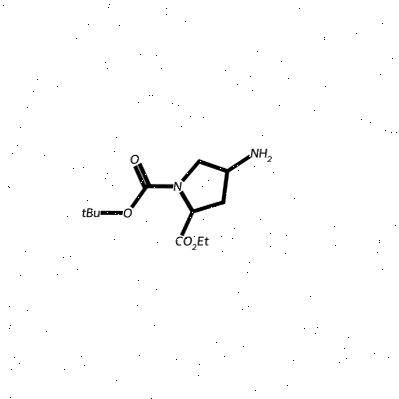 CCOC(=O)C1CC(N)CN1C(=O)OC(C)(C)C